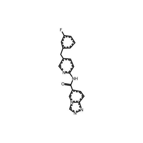 O=C(Nc1ccc(Cc2cccc(F)c2)cn1)c1ccc2nncn2c1